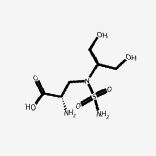 N[C@@H](CN(C(CO)CO)S(N)(=O)=O)C(=O)O